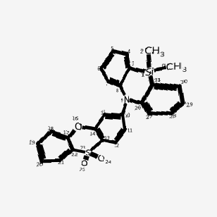 C[Si]1(C)c2ccccc2N(c2ccc3c(c2)Oc2ccccc2S3(=O)=O)c2ccccc21